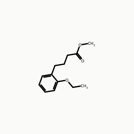 CCOc1ccccc1CCCC(=O)OC